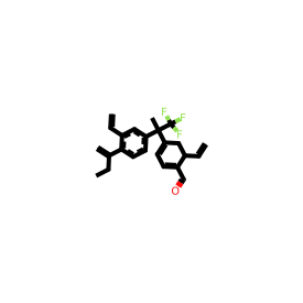 C=Cc1cc(C(C)(C2=CC=C(C=O)C(C=C)C2)C(F)(F)F)ccc1C(=C)CC